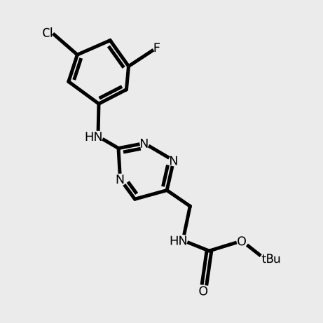 CC(C)(C)OC(=O)NCc1cnc(Nc2cc(F)cc(Cl)c2)nn1